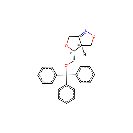 c1ccc(C(OC[C@@H]2OCC3=NOC[C@H]32)(c2ccccc2)c2ccccc2)cc1